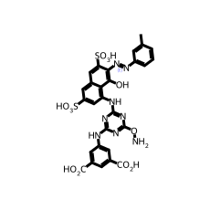 Cc1cccc(/N=N/c2c(S(=O)(=O)O)cc3cc(S(=O)(=O)O)cc(Nc4nc(Nc5cc(C(=O)O)cc(C(=O)O)c5)nc(ON)n4)c3c2O)c1